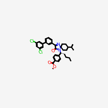 CCCC[C@H](c1ccc(C(=O)OC)cc1)N1C(=O)C(c2cccc(-c3cc(Cl)cc(Cl)c3)c2)=NC12CCC(C(C)C)CC2